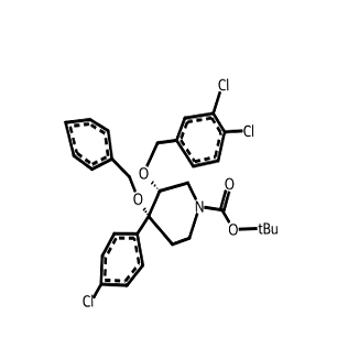 CC(C)(C)OC(=O)N1CC[C@@](OCc2ccccc2)(c2ccc(Cl)cc2)[C@H](OCc2ccc(Cl)c(Cl)c2)C1